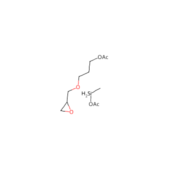 CC(=O)OCCCOCC1CO1.C[SiH2]OC(C)=O